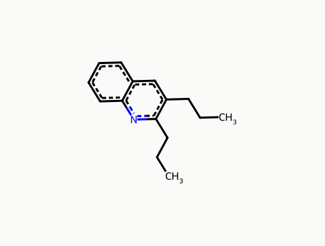 CCCc1cc2ccccc2nc1CCC